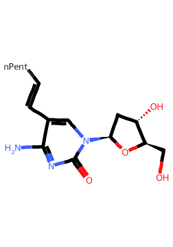 CCCCCC=Cc1cn([C@H]2C[C@H](O)[C@@H](CO)O2)c(=O)nc1N